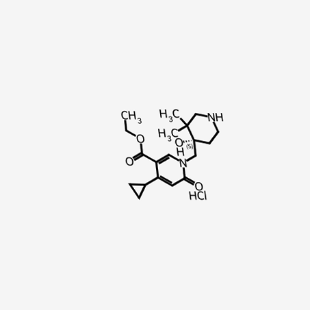 CCOC(=O)c1cn(C[C@]2(O)CCNCC2(C)C)c(=O)cc1C1CC1.Cl